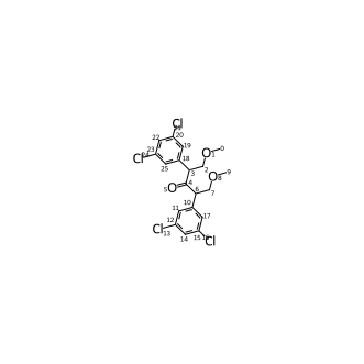 COCC(C(=O)C(COC)c1cc(Cl)cc(Cl)c1)c1cc(Cl)cc(Cl)c1